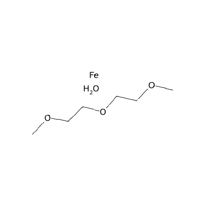 COCCOCCOC.O.[Fe]